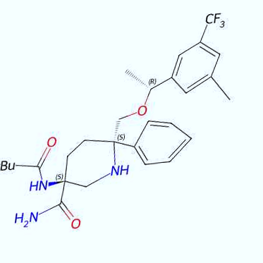 Cc1cc([C@@H](C)OC[C@@]2(c3ccccc3)CC[C@@](NC(=O)C(C)(C)C)(C(N)=O)CN2)cc(C(F)(F)F)c1